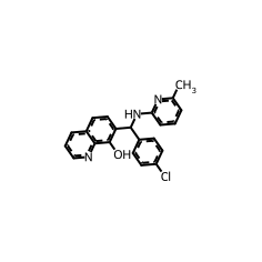 Cc1cccc(NC(c2ccc(Cl)cc2)c2ccc3cccnc3c2O)n1